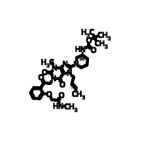 C/C=C/Cn1c(N2CCC[C@@H](NC(=O)OC(C)(C)C)C2)nc2c1c(=O)n(CC(=O)c1ccccc1OCC(=O)NC)c(=O)n2C